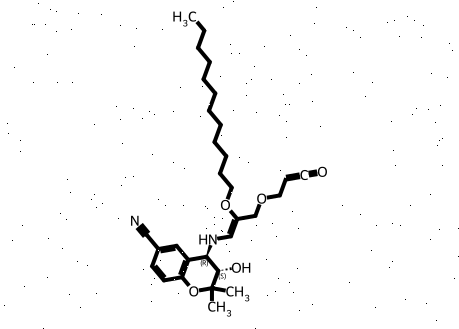 CCCCCCCCCCCCOC(=CN[C@@H]1c2cc(C#N)ccc2OC(C)(C)[C@H]1O)COCC=C=O